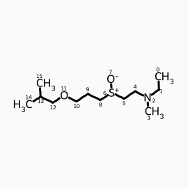 CCN(C)CC[S+]([O-])CCCOCC(C)C